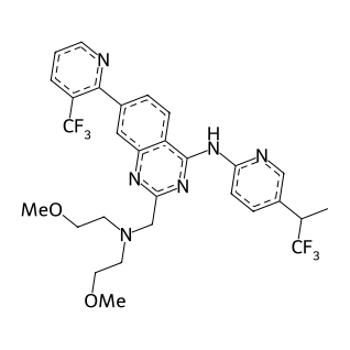 COCCN(CCOC)Cc1nc(Nc2ccc(C(C)C(F)(F)F)cn2)c2ccc(-c3ncccc3C(F)(F)F)cc2n1